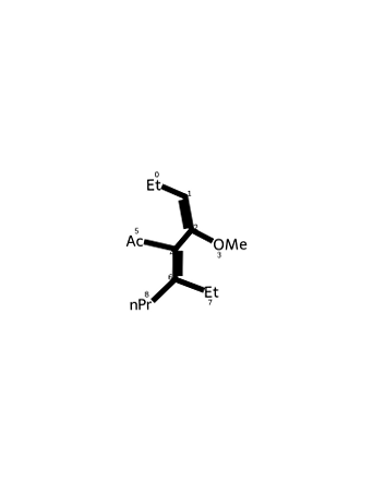 CC/C=C(OC)\C(C(C)=O)=C(/CC)CCC